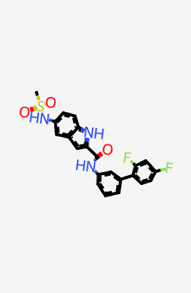 CS(=O)(=O)Nc1ccc2[nH]c(C(=O)Nc3cccc(-c4ccc(F)cc4F)c3)cc2c1